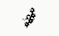 NC1=NCC[C@]2(O1)c1cc(-c3cncc(F)c3)ccc1Oc1cnc(C3=CCCOC3)cc12